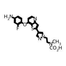 CN(CCn1cc(-c2cc3nccc(Oc4ccc(N)cc4F)c3s2)cn1)C(=O)O